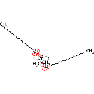 CCCCCCCCCCCCCCCCCCCCCCOC(=O)C(=O)OOC(C)(C)CCC(C)(C)OOC(=O)C(=O)OCCCCCCCCCCCCCCCCCCCCCC